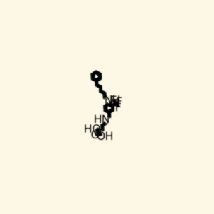 O=P(O)(O)CCCNCc1ccc(NCCCCCc2ccccc2)c(C(F)(F)F)c1